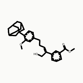 COC(=O)c1cccc(C(=CCCc2ccc(C34CC5CC(CC(C5)C3)C4)c(OC)c2)CO)c1